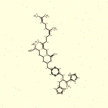 CCCN(CCC)CCCCN(CC(=O)OCC=C(C)CCC=C(C)CCC=C(C)C)Cc1ccc(CN(Cc2ncc[nH]2)C(C)c2ncc[nH]2)cc1